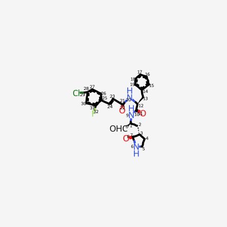 O=C[C@H](C[C@@H]1CCNC1=O)NC(=O)[C@H](Cc1ccccc1)NC(=O)/C=C/c1ccc(Cl)cc1F